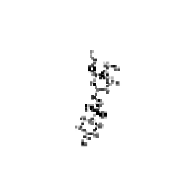 CCOC(C[C@@H](COC)COS(=O)(=O)c1ccc(C)cc1)OCC